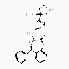 CC1(c2nnc(NC3N=C(c4ccccc4)c4ccccc4NC3=O)o2)CCNC1